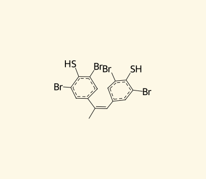 CC(=Cc1cc(Br)c(S)c(Br)c1)c1cc(Br)c(S)c(Br)c1